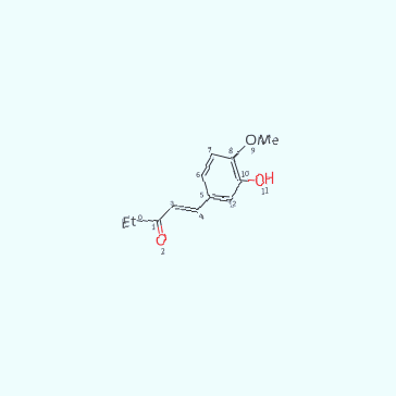 CCC(=O)C=Cc1ccc(OC)c(O)c1